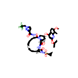 COc1ccc2c(O[C@@H]3C[C@H]4C(=O)N[C@]5(C(=O)NS(=O)(=O)C6CC6)C[C@H]5C=CCCCCC[C@H](NC(=O)c5ccn(CC(F)(F)F)n5)C(=O)N4C3)cc(OC(C)C)nc2c1C